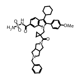 COc1ccc(-c2c(C3CCCCC3)c3ccc(C(=O)NS(N)(=O)=O)cc3n2CC2(C(=O)N3CC4CN(Cc5ccccc5)CC4C3)CC2)cc1